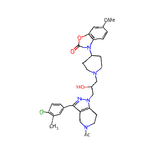 COc1ccc2c(c1)oc(=O)n2C1CCN(CC(O)Cn2nc(-c3ccc(Cl)c(C)c3)c3c2CCN(C(C)=O)C3)CC1